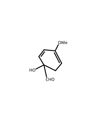 COC1=CCC(O)(C=O)C=C1